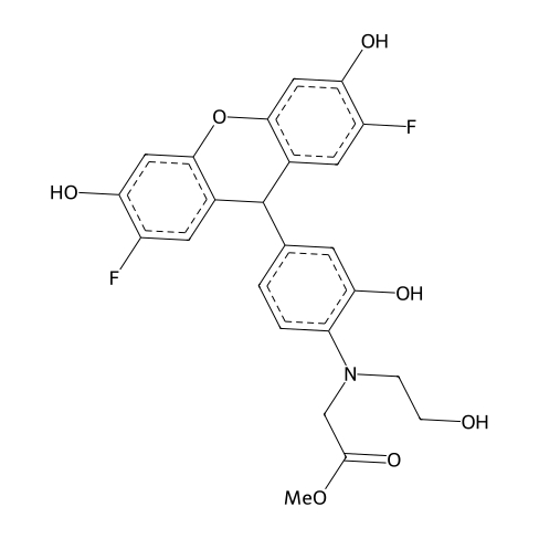 COC(=O)CN(CCO)c1ccc(C2c3cc(F)c(O)cc3Oc3cc(O)c(F)cc32)cc1O